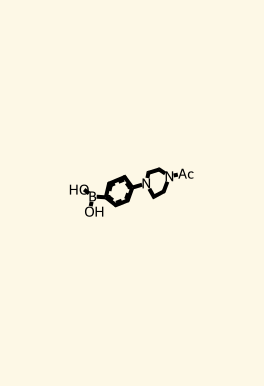 CC(=O)N1CCN(c2ccc(B(O)O)cc2)CC1